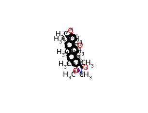 CON(C)C(=O)[C@@]1(C)CC[C@]2(C)CC[C@]3(C)C(=CC(=O)[C@@H]4[C@@]5(C)CCC(=O)C(C)(C)C5CC[C@]43C)[C@@H]2C1